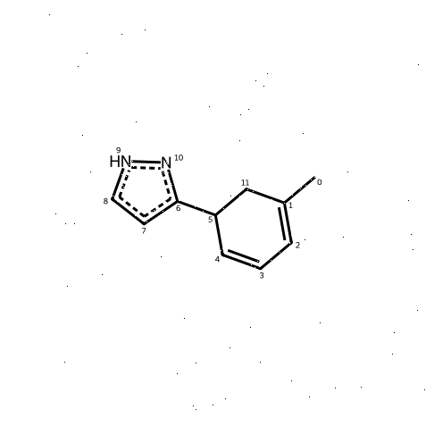 CC1=CC=CC(c2cc[nH]n2)C1